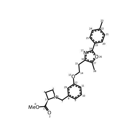 COC(=O)[C@H]1CCN1Cc1cccc(OCCc2nc(-c3ccc(C)cc3)oc2C)c1